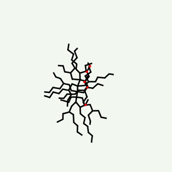 CCCCCCCC(CC)[C](CC(CCC)CCCCC)C(CCC)(CCCC(CCC)CCC)C(CCC(CCC)CCCC)(CC(CCC)CCCCC)C(CC(CCC)CCCCC)(CC(CCC)CCCCC)C(CC(CCC)CCCCC)(C(C)CC(CCC)CCCCC)C(CCC)CCCCCC